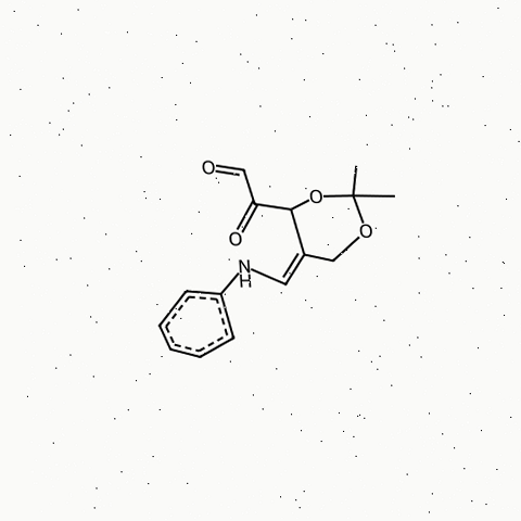 CC1(C)OCC(=CNc2ccccc2)C(C(=O)C=O)O1